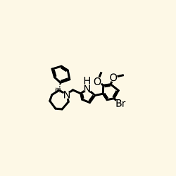 COc1cc(Br)cc(-c2ccc(CN3CCCCC[C@@H]3c3ccccc3)[nH]2)c1OC